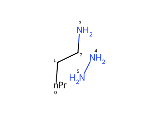 CCCCCN.NN